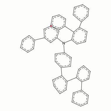 c1ccc(-c2cccc(N(c3ccc(-c4ccccc4-c4ccccc4-c4ccccc4)cc3)c3cccc(-c4ccccc4)c3-c3ccccc3)c2)cc1